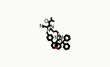 CCCc1nc(C(=O)C(C)C)c(C#N)n1Cc1ccc(-c2ccccc2-c2nnnn2C(c2ccccc2)(c2ccccc2)c2ccccc2)cc1